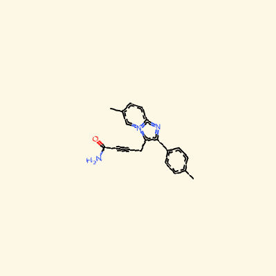 Cc1ccc(-c2nc3ccc(C)cn3c2CC#CC(N)=O)cc1